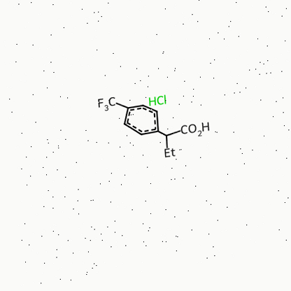 CCC(C(=O)O)c1ccc(C(F)(F)F)cc1.Cl